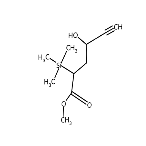 C#CC(O)CC(C(=O)OC)[Si](C)(C)C